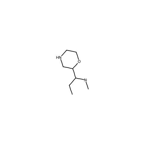 CCC([N]C)C1CNCCO1